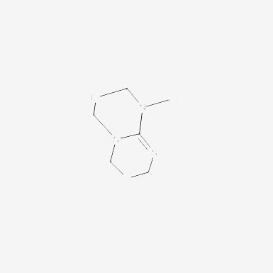 PN1CBCN2CBCN=C12